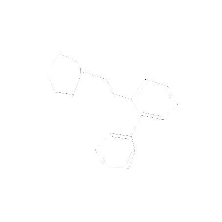 [c]1ccc(-c2ccccc2)c(CCN2CCOCC2)c1